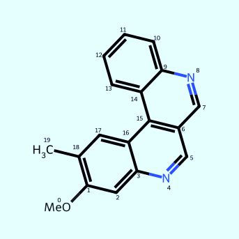 COc1cc2ncc3cnc4ccccc4c3c2cc1C